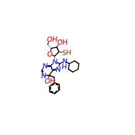 OC[C@H]1O[C@@H](N2C3=NC=NC(O)(Cc4ccccc4)C3=NC2NC2CCCCC2)[C@H](S)[C@@H]1O